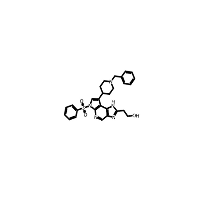 O=S(=O)(c1ccccc1)n1cc(C2CCN(Cc3ccccc3)CC2)c2c3[nH]c(CCO)nc3cnc21